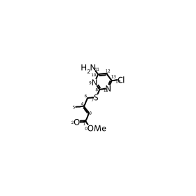 COC(=O)C=C(C)CSc1nc(N)cc(Cl)n1